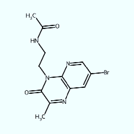 CC(=O)NCCn1c(=O)c(C)nc2cc(Br)cnc21